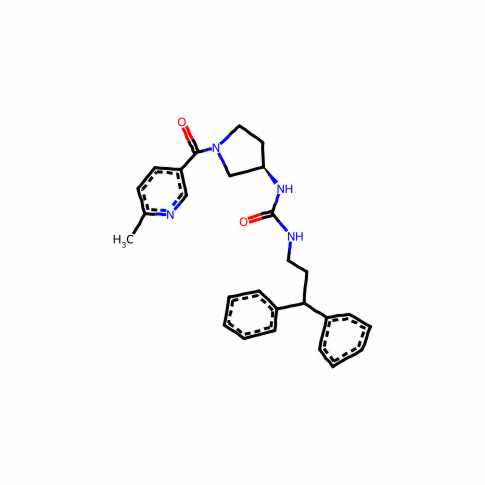 Cc1ccc(C(=O)N2CC[C@@H](NC(=O)NCCC(c3ccccc3)c3ccccc3)C2)cn1